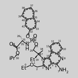 CCOCc1nc2c(N)nc3ccccc3c2n1[C@](C)(CC)CO[P@@](=O)(N[C@@H](C)C(=O)OC(C)C)Oc1ccc2ccccc2c1